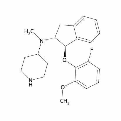 COc1cccc(F)c1O[C@@H]1c2ccccc2C[C@H]1N(C)C1CCNCC1